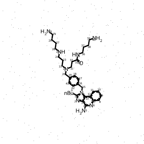 CCCCc1nc2c(N)nc3ccccc3c2n1Cc1ccc(CN(CCCNCCCCN)CCC(=O)NCCCCN)cc1